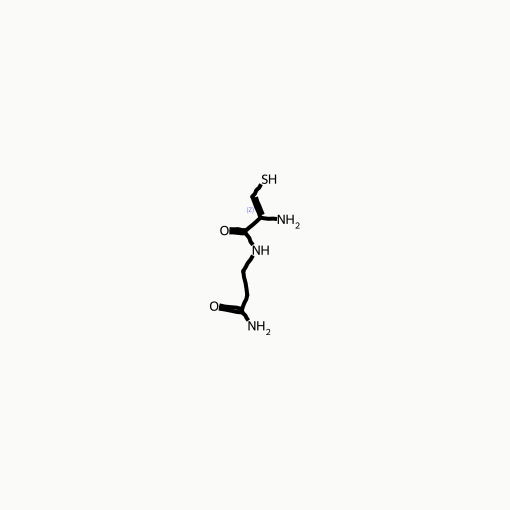 NC(=O)CCNC(=O)/C(N)=C/S